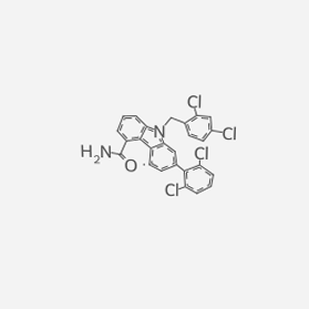 NC(=O)c1cccc2c1c1[c]cc(-c3c(Cl)cccc3Cl)cc1n2Cc1ccc(Cl)cc1Cl